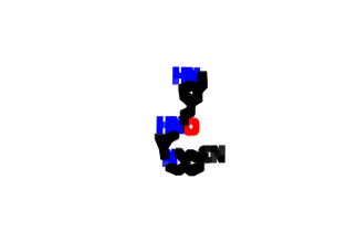 N#Cc1ccc2c(c1)CN(CC1CC1CNC(=O)/C=C/c1ccc3[nH]ccc3c1)CC2